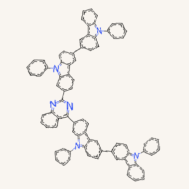 c1ccc(-n2c3ccccc3c3cc(-c4ccc5c(c4)c4ccc(-c6nc(-c7ccc8c9cc(-c%10ccc%11c(c%10)c%10ccccc%10n%11-c%10ccccc%10)ccc9n(-c9ccccc9)c8c7)c7ccccc7n6)cc4n5-c4ccccc4)ccc32)cc1